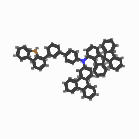 c1cc(-c2ccc(N(c3ccc4c5ccccc5c5ccccc5c4c3)c3cccc4c3-c3ccccc3C43c4ccccc4-c4ccccc43)cc2)cc(-c2cccc3c2sc2ccccc23)c1